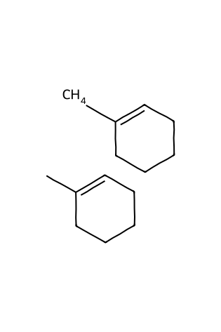 C.CC1=CCCCC1.CC1=CCCCC1